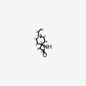 CCN1CCC2(CC1)CC(=O)N2